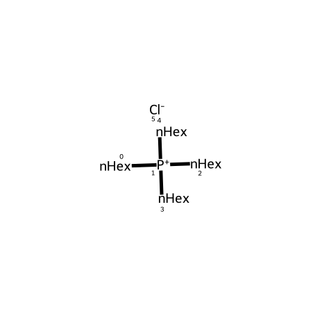 CCCCCC[P+](CCCCCC)(CCCCCC)CCCCCC.[Cl-]